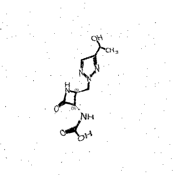 CC(O)c1cnn(C[C@@H]2NC(=O)[C@H]2NC(=O)O)n1